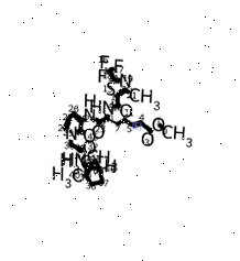 COC(=O)/C=C/CC[C@H](NC(=O)c1sc(C(F)(F)F)nc1C)C(=O)Nc1cccn(CC(=O)N[C@H]2C[C@H]3CC[C@]2(C)C3(C)C)c1=O